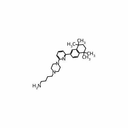 CC1(C)CCC(C)(C)c2cc(-c3cccc(N4CCN(CCCCN)CC4)n3)ccc21